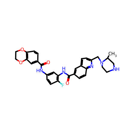 CC1CNCCN1Cc1ccc2cc(C(=O)Nc3cc(NC(=O)c4ccc5c(c4)OCCO5)ccc3F)ccc2n1